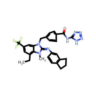 CCc1cc(C(F)(F)F)cc2c1n(C)c(=Nc1ccc3c(c1)CCC3)n2Cc1ccc(C(=O)Nc2nnn[nH]2)cc1